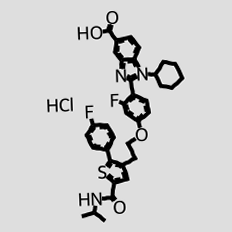 CC(C)NC(=O)c1cc(CCOc2ccc(-c3nc4cc(C(=O)O)ccc4n3C3CCCCC3)c(F)c2)c(-c2ccc(F)cc2)s1.Cl